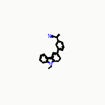 C=C(C#N)c1cccc(-c2ccc3c(c2)c2ccccc2n3CC)c1